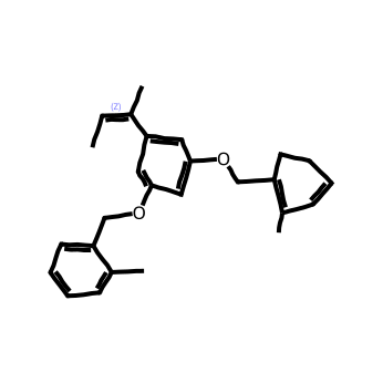 C/C=C(/C)c1cc(OCC2=C(C)C=CCC2)cc(OCc2ccccc2C)c1